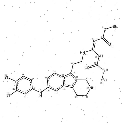 CC(C)(C)OC(=O)/N=C(/NCCn1c2c(c3cc(Nc4ccc(Cl)c(Cl)c4)ccc31)CCNC2)NC(=O)OC(C)(C)C